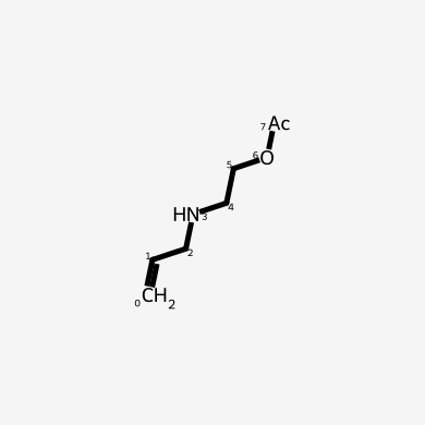 C=CCNCCOC(C)=O